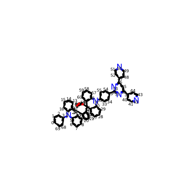 c1ccc(N2c3ccccc3[Si]3(c4ccccc42)c2ccccc2C2(c4ccccc4N(c4ccc(-c5nc(-c6ccncc6)cc(-c6ccncc6)n5)cc4)c4ccccc42)c2ccccc23)cc1